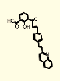 O=C(O)c1cccc(C(=O)/C=C/c2ccc(/C=C/c3ccc4ccccc4n3)cc2)c1O